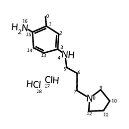 Cc1cc(NCCCN2CCCC2)ccc1N.Cl.Cl